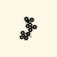 CC(c1ccccc1)(c1ccccc1)c1ccccc1-c1ccc(-c2ccc(N(c3ccccc3)C3CC=C(c4nc5ccccc5n4-c4ccccc4)c4ccccc43)cc2)cc1